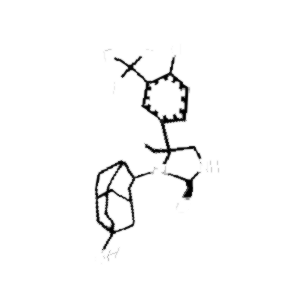 CC1(c2ccc(Cl)c(C(F)(F)F)c2)CNC(=O)N1C1C2CC3CC1CC(O)(C3)C2